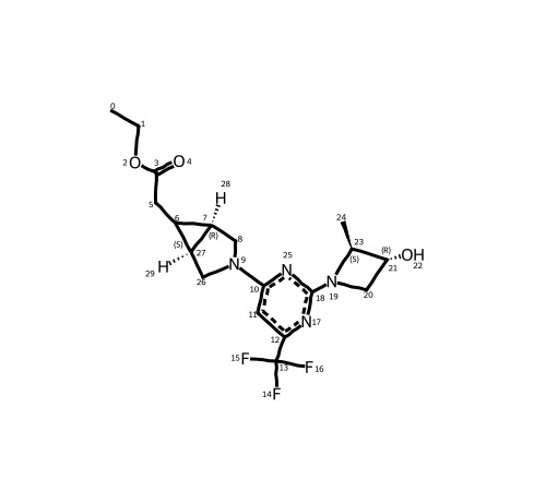 CCOC(=O)CC1[C@H]2CN(c3cc(C(F)(F)F)nc(N4C[C@@H](O)[C@@H]4C)n3)C[C@@H]12